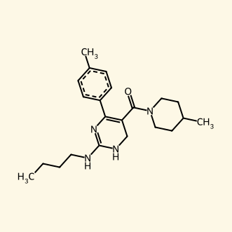 CCCCNC1=NC(c2ccc(C)cc2)=C(C(=O)N2CCC(C)CC2)CN1